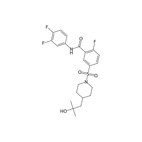 CC(C)(O)CC1CCN(S(=O)(=O)c2ccc(F)c(C(=O)Nc3ccc(F)c(F)c3)c2)CC1